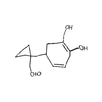 O=CC1(C2C=CC(O)=C(O)C2)CC1